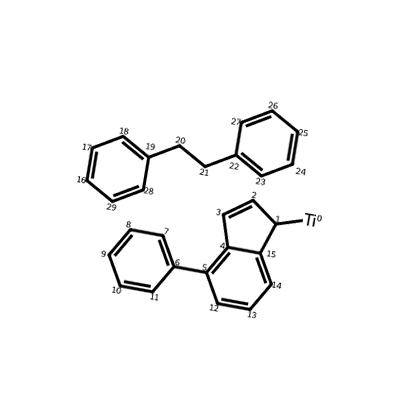 [Ti][CH]1C=Cc2c(-c3ccccc3)cccc21.c1ccc(CCc2ccccc2)cc1